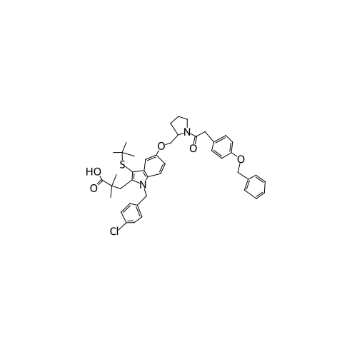 CC(C)(C)Sc1c(CC(C)(C)C(=O)O)n(Cc2ccc(Cl)cc2)c2ccc(OCC3CCCN3C(=O)Cc3ccc(OCc4ccccc4)cc3)cc12